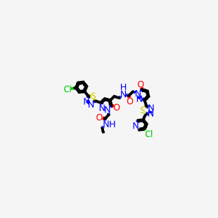 CCNC(=O)Cn1nc(-c2nnc(-c3cccc(Cl)c3)s2)cc(CCNC(=O)Cn2nc(-c3nnc(-c4cncc(Cl)c4)s3)ccc2=O)c1=O